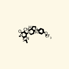 Cc1nc2c(N3CC[C@@H]4[C@@H](CCN4c4ccc(OC(F)(F)F)cc4)C3)c(C#N)c(=O)n(C)c2s1